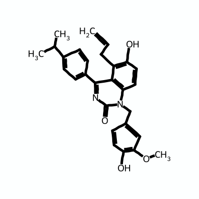 C=CCc1c(O)ccc2c1c(-c1ccc(C(C)C)cc1)nc(=O)n2Cc1ccc(O)c(OC)c1